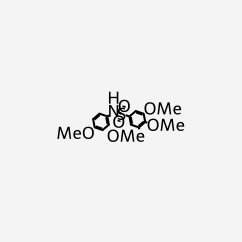 COc1ccc(NS(=O)(=O)c2cc(OC)c(OC)c(OC)c2)cc1